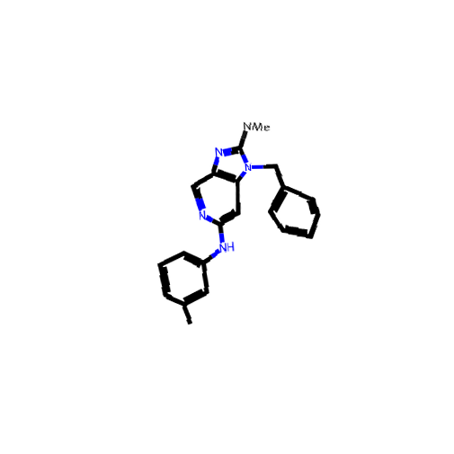 CNc1nc2cnc(Nc3cccc(C)c3)cc2n1Cc1ccccc1